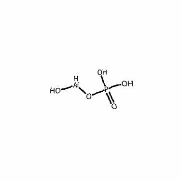 O=P(O)(O)[O][AlH][OH]